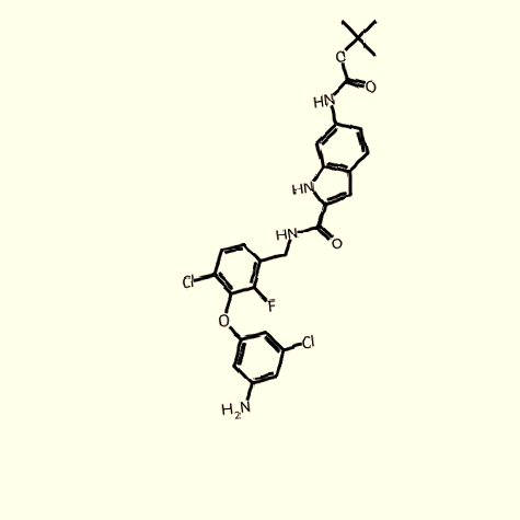 CC(C)(C)OC(=O)Nc1ccc2cc(C(=O)NCc3ccc(Cl)c(Oc4cc(N)cc(Cl)c4)c3F)[nH]c2c1